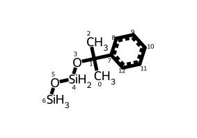 CC(C)(O[SiH2]O[SiH3])c1ccccc1